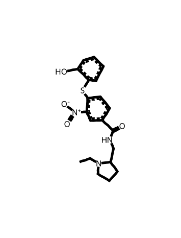 CCN1CCCC1CNC(=O)c1ccc(Sc2ccccc2O)c([N+](=O)[O-])c1